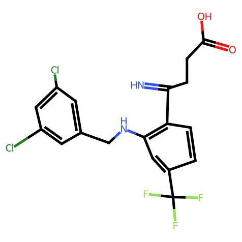 N=C(CCC(=O)O)c1ccc(C(F)(F)F)cc1NCc1cc(Cl)cc(Cl)c1